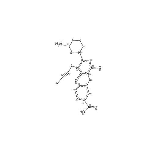 CC#CCn1c(N2CCC[C@@H](N)C2)cc(=O)n(Cc2cccc(C(=O)O)c2)c1=O